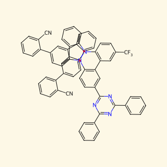 N#Cc1ccccc1-c1ccc2c(c1)c1ccccc1n2-c1ccc(-c2nc(-c3ccccc3)nc(-c3ccccc3)n2)cc1-c1cc(C(F)(F)F)ccc1-n1c2ccccc2c2cc(-c3ccccc3C#N)ccc21